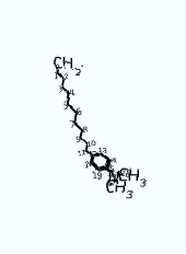 [CH2]CCCCCCCCCCCc1ccc(N(C)C)cc1